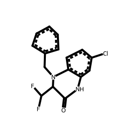 O=C1Nc2cc(Cl)ccc2N(Cc2ccccc2)C1C(F)F